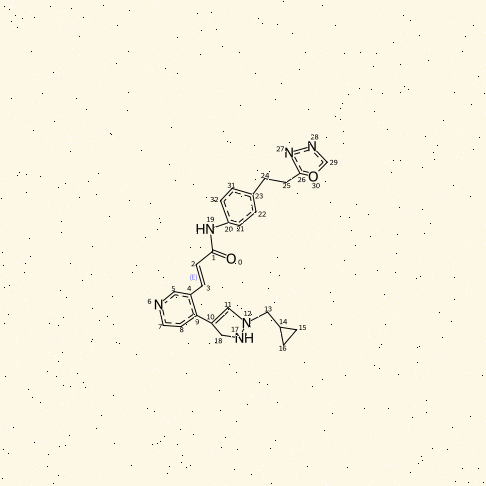 O=C(/C=C/c1cnccc1C1=CN(CC2CC2)NC1)Nc1ccc(CCc2nnco2)cc1